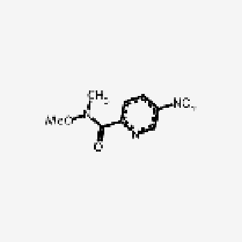 CON(C)C(=O)c1ccc([N+](=O)[O-])cn1